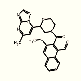 COc1cc2ccccc2c(C=O)c1C(=O)N1CCOC(c2cc(C)nc3ncnn23)C1